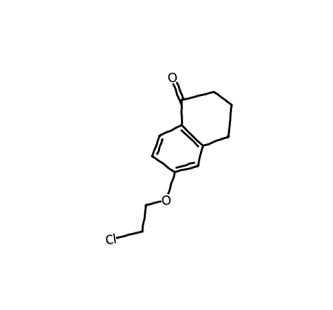 O=C1CCCc2cc(OCCCl)ccc21